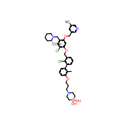 Cc1c(OCCCN2CCS(O)(O)CC2)cccc1-c1cccc(COc2cc(OCc3cncc(C#N)c3)c(CN3CCCC[C@H]3C(=O)O)cc2Cl)c1Cl